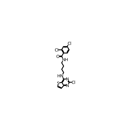 O=C(NCCCCNc1nc(Cl)nc2ccsc12)c1ccc(Cl)cc1Cl